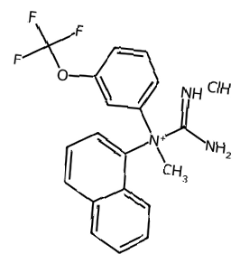 C[N+](C(=N)N)(c1cccc(OC(F)(F)F)c1)c1cccc2ccccc12.Cl